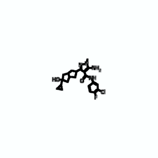 Cn1nc(C2CC3CC(O)(C4CC4)CC3C2)c(C(=O)Nc2ccc(F)c(Cl)c2)c1N